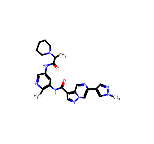 Cc1ncc(NC(=O)C(C)N2CCCCC2)cc1NC(=O)c1cnn2cc(-c3cnn(C)c3)ncc12